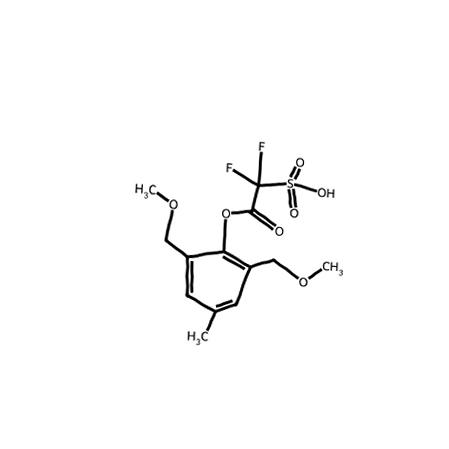 COCc1cc(C)cc(COC)c1OC(=O)C(F)(F)S(=O)(=O)O